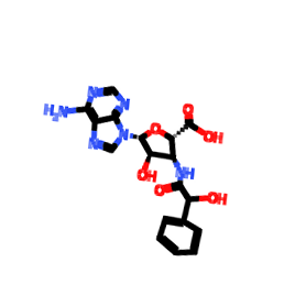 Nc1ncnc2c1ncn2[C@@H]1O[C@H](C(=O)O)[C@@H](NC(=O)C(O)c2ccccc2)[C@H]1O